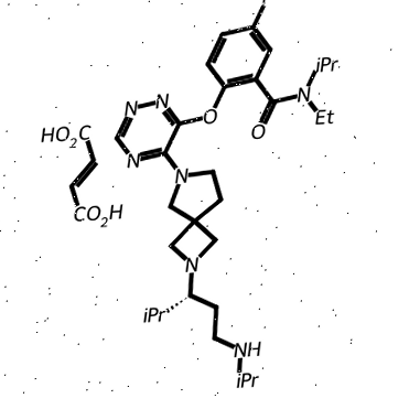 CCN(C(=O)c1cc(F)ccc1Oc1nncnc1N1CCC2(C1)CN([C@H](CCNC(C)C)C(C)C)C2)C(C)C.O=C(O)/C=C/C(=O)O